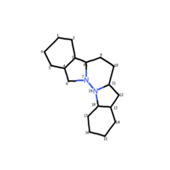 C1CCC2C(C1)CN1C2CCC2CC3CCCCC3N21